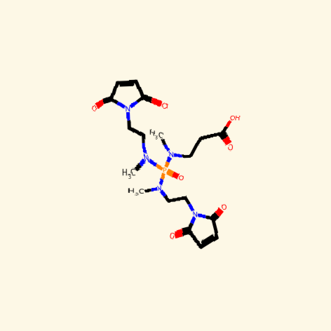 CN(CCC(=O)O)P(=O)(N(C)CCN1C(=O)C=CC1=O)N(C)CCN1C(=O)C=CC1=O